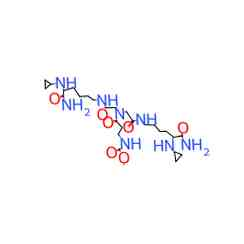 COC(=O)NCCC(=O)N(CC(=O)NCCCCC(NC1CC1)C(N)=O)CC(=O)NCCCCC(NC1CC1)C(N)=O